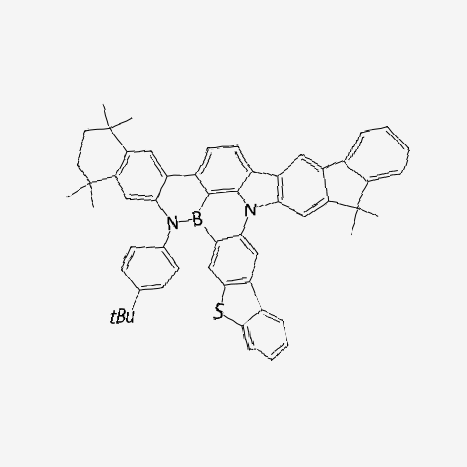 CC(C)(C)c1ccc(N2B3c4cc5sc6ccccc6c5cc4-n4c5cc6c(cc5c5ccc(c3c54)-c3cc4c(cc32)C(C)(C)CCC4(C)C)-c2ccccc2C6(C)C)cc1